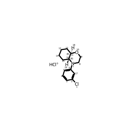 Cl.Clc1cccc(N2CCO[C@@H]3CCCC[C@H]32)c1